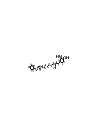 Oc1ccc(CCNCCCCCCNCCOc2ccccc2)cc1O